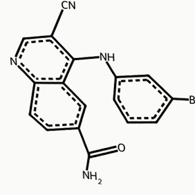 N#Cc1cnc2ccc(C(N)=O)cc2c1Nc1cccc(Br)c1